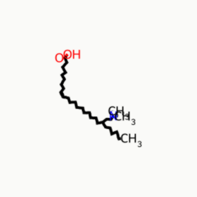 CCCCCCC(CCCCCCCCCC/C=C\CCCCCCCC(=O)O)CCN(C)C